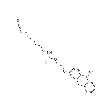 O=C=NCCCCCCNC(=O)OCCOc1ccc2c(c1)Cc1ccccc1[S+]2[O-]